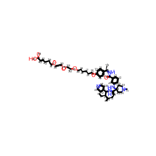 CCC1C(C)CC=C(C2(Nc3cccc(C(=O)N[C@H](C)c4ccc(OCCCCCCOCCOCCOCCCCCC(=O)O)cc4)c3)CCN(C)CC2)NC1c1ccncc1